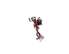 C=CC(=O)OCCCCCCOc1ccc(C(=O)Oc2c(/C=N/Nc3nc4ccccc4s3)c(OC(=O)C(=C)C)c(OC(=O)c3ccc(OCC)cc3)c3ccccc23)cc1